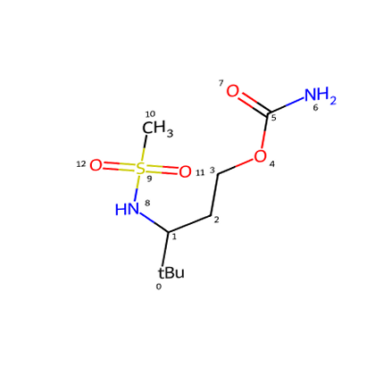 CC(C)(C)C(CCOC(N)=O)NS(C)(=O)=O